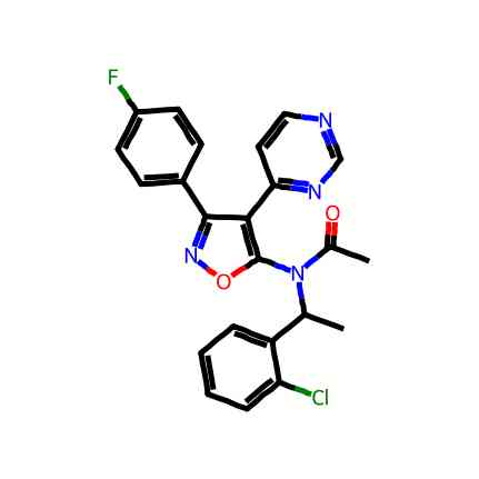 CC(=O)N(c1onc(-c2ccc(F)cc2)c1-c1ccncn1)C(C)c1ccccc1Cl